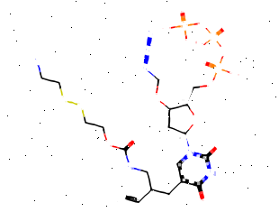 C=CC(CNC(=O)OCCSSCCN)Cc1cn([C@H]2CC(OCN=[N+]=[N-])[C@@H](COP(=O)(O)OP(=O)(O)OP(=O)(O)O)O2)c(=O)[nH]c1=O